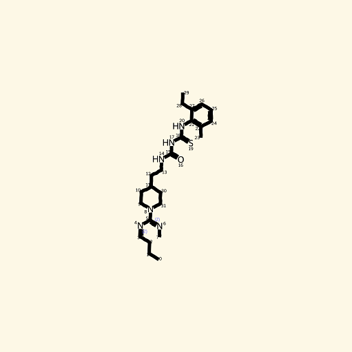 CCC/C=N\C(=N/C)N1CCC(CCNC(=O)NC(=S)Nc2c(C)cccc2CC)CC1